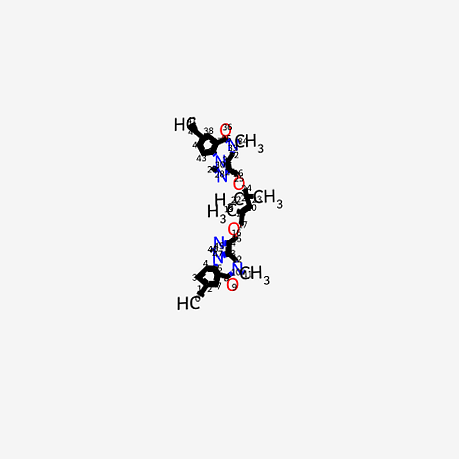 C#Cc1ccc2c(c1)C(=O)N(C)Cc1c(COC/C(C)=C/C(C)(C)COCc3ncn4c3CN(C)C(=O)c3cc(C#C)ccc3-4)ncn1-2